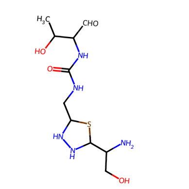 CC(O)C(C=O)NC(=O)NCC1NNC(C(N)CO)S1